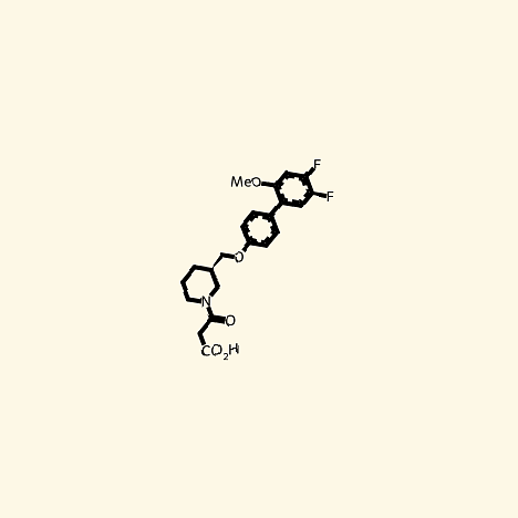 COc1cc(F)c(F)cc1-c1ccc(OC[C@@H]2CCCN(C(=O)CC(=O)O)C2)cc1